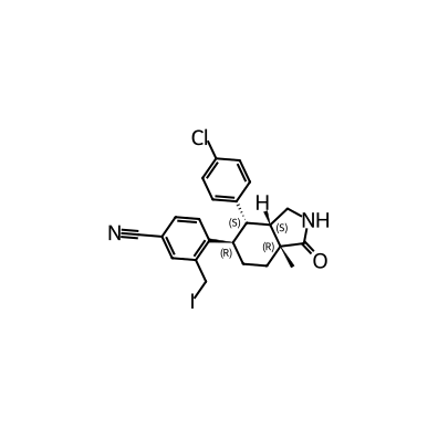 C[C@@]12CC[C@@H](c3ccc(C#N)cc3CI)[C@H](c3ccc(Cl)cc3)[C@@H]1CNC2=O